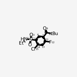 CCNS(=O)(=O)c1cc(C(=O)C(C)(C)C)c(F)cc1Cl